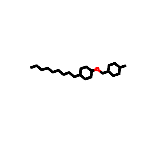 CCCCCCCCCC1CCC(OCC2CCC(C)CC2)CC1